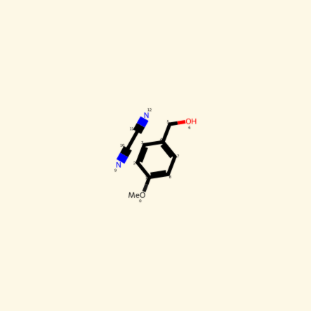 COc1ccc(CO)cc1.N#CC#N